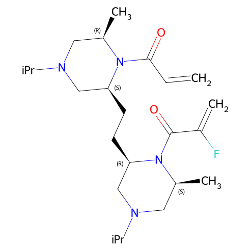 C=CC(=O)N1[C@@H](CC[C@@H]2CN(C(C)C)C[C@H](C)N2C(=O)C(=C)F)CN(C(C)C)C[C@H]1C